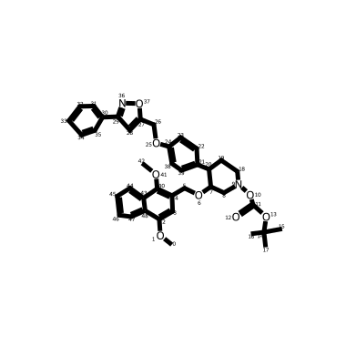 COc1cc(COC2CN(OC(=O)OC(C)(C)C)CCC2c2ccc(OCc3cc(-c4ccccc4)no3)cc2)c(OC)c2ccccc12